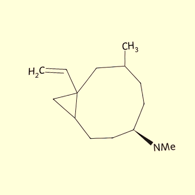 C=CC12CC(C)CC[C@@H](NC)CCC1C2